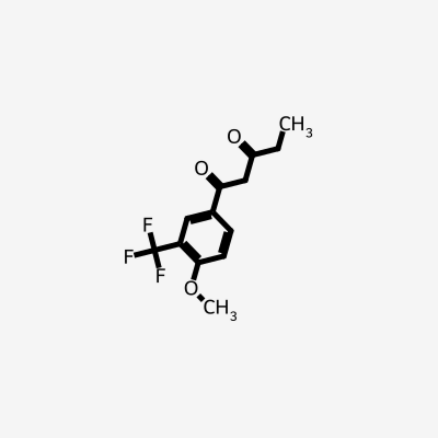 CCC(=O)CC(=O)c1ccc(OC)c(C(F)(F)F)c1